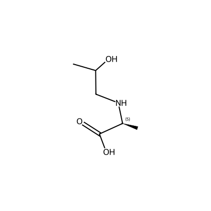 CC(O)CN[C@@H](C)C(=O)O